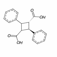 O=C(O)C1C(c2ccccc2)[C@H](C(=O)O)[C@H]1c1ccccc1